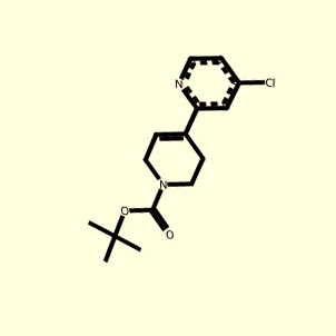 CC(C)(C)OC(=O)N1CC=C(c2cc(Cl)ccn2)CC1